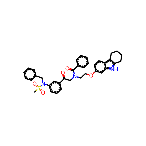 CS(=O)(=O)N(Cc1ccccc1)c1cccc(C(=O)CN(CCOc2ccc3c4c([nH]c3c2)CCCC4)C(=O)c2ccccc2)c1